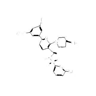 C=C1CCN(c2nc(-c3cc(F)cc(OCC(C)C)c3)ccc2C(=O)NS(=O)(=O)c2cccc(N)n2)CC1